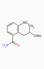 COC(C)Cc1c(C(N)=O)cccc1[N+](=O)[O-]